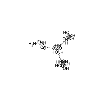 CCN[C@@H](CCCCN)C(=O)NC(=O)CCCCCNC(=O)CN(CC(=O)NCCCCCC(=O)NC1C(O)O[C@H](CO)[C@@H](O)[C@@H]1O)CC(=O)NCCCCCC(=O)N[C@H]1CO[C@H](CO)[C@@H](O)[C@@H]1O